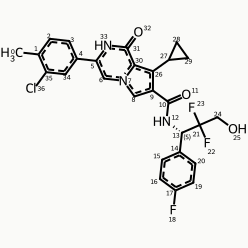 Cc1ccc(-c2cn3cc(C(=O)N[C@@H](c4ccc(F)cc4)C(F)(F)CO)c(C4CC4)c3c(=O)[nH]2)cc1Cl